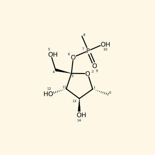 C[C@H]1O[C@@](CO)(OP(C)(=O)O)[C@@H](O)[C@@H]1O